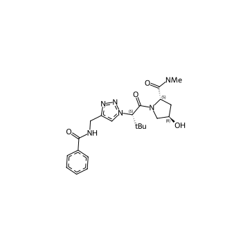 CNC(=O)[C@@H]1C[C@@H](O)CN1C(=O)[C@@H](n1cc(CNC(=O)c2ccccc2)nn1)C(C)(C)C